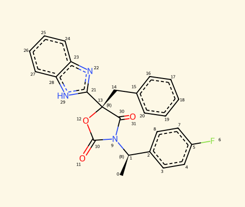 C[C@H](c1ccc(F)cc1)N1C(=O)O[C@](Cc2ccccc2)(c2nc3ccccc3[nH]2)C1=O